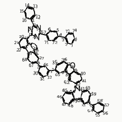 c1ccc(-c2ccc(-c3nc(-c4ccccc4)nc(-c4cccc5c4oc4cc(-c6cccc(-c7ccc8oc9ccc(-n%10c%11ccccc%11c%11cc(-c%12ccccc%12)ccc%11%10)cc9c8c7)c6)ccc45)n3)cc2)cc1